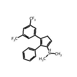 C[SiH](C)C1=CCC(c2cc(C(F)(F)F)cc(C(F)(F)F)c2)=C1c1ccccc1